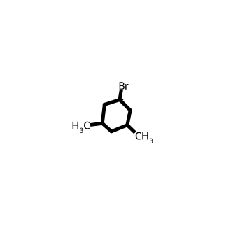 CC1C[C](Br)CC(C)C1